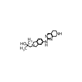 CC(C)(O)CN1Cc2ccc(Nc3ncc4c(n3)CNCC4)cc2C1